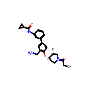 N#CCC(=O)N1CC[C@H](Oc2ccc(-c3cccc(NC(=O)C4CC4)c3)cc2CN)[C@H](F)C1